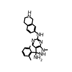 Cc1cccc(C)c1C1(N)NN(C)c2nc(Nc3ccc4c(c3)CNCC4)ncc21